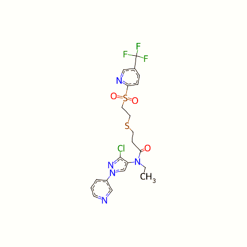 CCN(C(=O)CCSCCS(=O)(=O)c1ccc(C(F)(F)F)cn1)c1cn(-c2cccnc2)nc1Cl